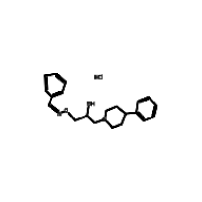 Cl.OC(CO/N=C\c1ccccc1)CN1CCC(c2ccccc2)CC1